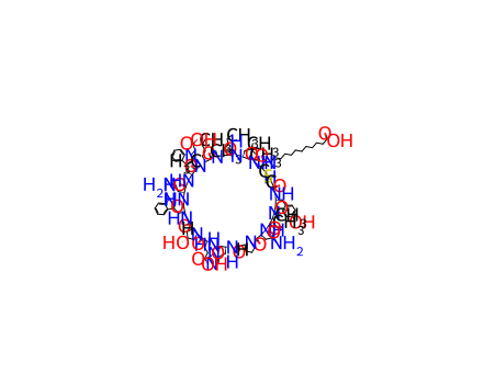 CCCC[C@H]1C(=O)N(C)[C@@H](CCCC)C(=O)N[C@@H](CC(C)C)C(=O)N[C@H](C(=O)NCCCCCCCCCCC(=O)O)CSCC(=O)N[C@@H](Cc2ccc(O)cc2)C(=O)N(C)[C@@H](C)C(=O)N[C@@H](CC(N)=O)C(=O)N2CCC[C@H]2C(=O)N[C@@H](Cc2cnc[nH]2)C(=O)N[C@@H](CCC(=O)O)C(=O)N2C[C@H](O)C[C@H]2C(=O)N[C@@H](Cc2c[nH]c3ccccc23)C(=O)N[C@@H](CCN)C(=O)N[C@@H](Cc2cn(CC(=O)O)c3ccccc23)C(=O)N1C